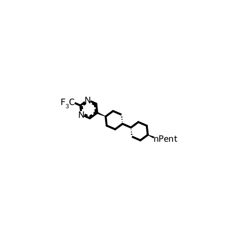 CCCCC[C@H]1CC[C@H]([C@H]2CC[C@H](c3cnc(C(F)(F)F)nc3)CC2)CC1